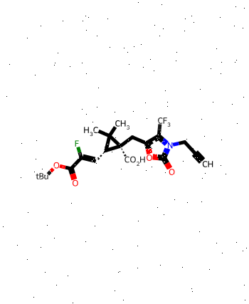 C#CCn1c(C(F)(F)F)c(C[C@@]2(C(=O)O)[C@H](C=C(F)C(=O)OC(C)(C)C)C2(C)C)oc1=O